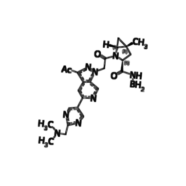 BNC(=O)[C@@H]1C[C@@]2(C)C[C@H]2N1C(=O)Cn1nc(C(C)=O)c2cc(-c3cnc(CN(C)C)nc3)ncc21